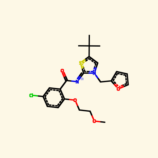 COCCOc1ccc(Cl)cc1C(=O)/N=c1\sc(C(C)(C)C)cn1Cc1ccco1